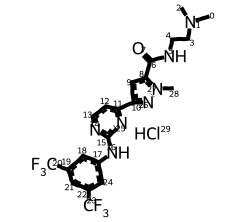 CN(C)CCNC(=O)c1cc(-c2ccnc(Nc3cc(C(F)(F)F)cc(C(F)(F)F)c3)n2)nn1C.Cl